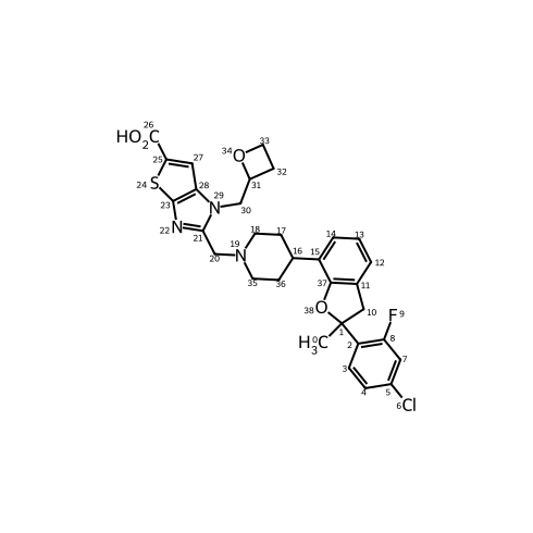 CC1(c2ccc(Cl)cc2F)Cc2cccc(C3CCN(Cc4nc5sc(C(=O)O)cc5n4CC4CCO4)CC3)c2O1